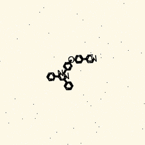 c1ccc(-c2cc(-c3ccccc3)nc(-c3ccc(Oc4ccc(-c5ccncc5)cc4)cc3)n2)cc1